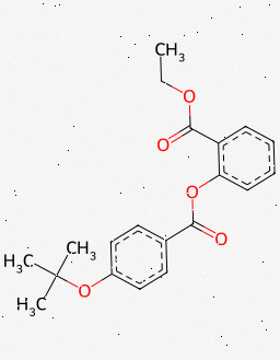 CCOC(=O)c1ccccc1OC(=O)c1ccc(OC(C)(C)C)cc1